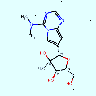 CN(C)c1ncnc2cc([C@@H]3O[C@H](CO)[C@@H](O)[C@@]3(C)O)cn12